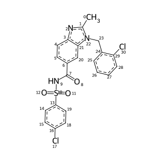 Cc1nc2ccc(C(=O)NS(=O)(=O)c3ccc(Cl)cc3)cc2n1Cc1ccccc1Cl